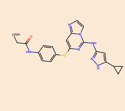 COCC(=O)Nc1ccc(Sc2cc3nccn3c(Nc3cc(C4CC4)[nH]n3)n2)cc1